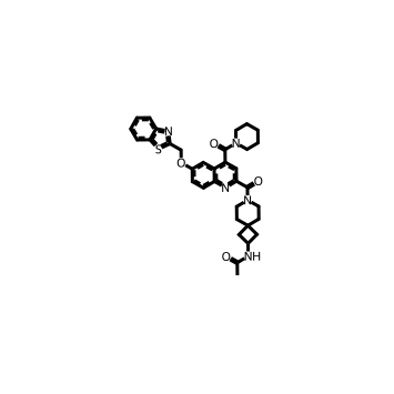 CC(=O)NC1CC2(CCN(C(=O)c3cc(C(=O)N4CCCCC4)c4cc(OCc5nc6ccccc6s5)ccc4n3)CC2)C1